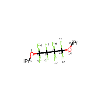 CC(C)OC(F)(F)C(F)(F)C(F)(F)C(F)(F)OC(C)C